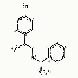 CCOC(=O)[C@@H](NCC(C)c1ccc(C#N)cc1)c1ccccc1